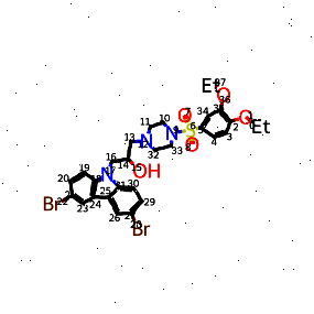 CCOc1ccc(S(=O)(=O)N2CCN(CC(O)Cn3c4ccc(Br)cc4c4cc(Br)ccc43)CC2)cc1OCC